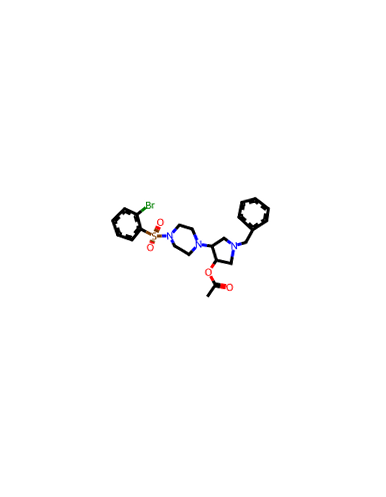 CC(=O)OC1CN(Cc2ccccc2)CC1N1CCN(S(=O)(=O)c2ccccc2Br)CC1